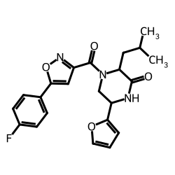 CC(C)CC1C(=O)NC(c2ccco2)CN1C(=O)c1cc(-c2ccc(F)cc2)on1